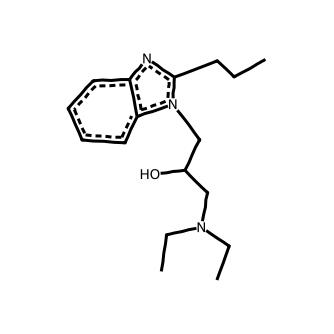 CCCc1nc2ccccc2n1CC(O)CN(CC)CC